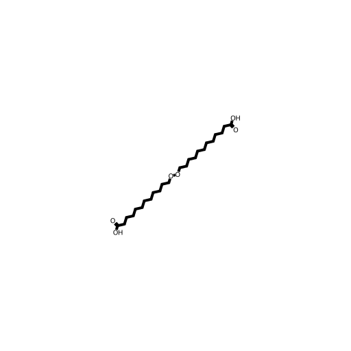 O=C(O)CCCCCCCCCCCOOCCCCCCCCCCCC(=O)O